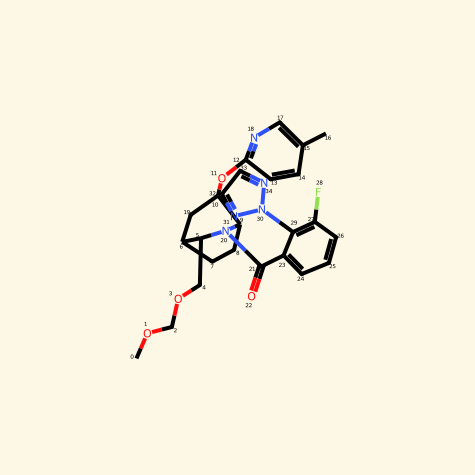 COCOCC1C2CCC(C(Oc3ccc(C)cn3)C2)N1C(=O)c1cccc(F)c1-n1nccn1